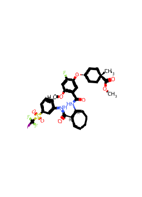 COc1cc(F)c(O[C@H]2CC[C@@](C)(C(=O)OC)CC2)cc1C(=O)N[C@H]1CCCCC[C@H]1C(=O)Nc1cccc(S(=O)(=O)C(F)(F)I)c1